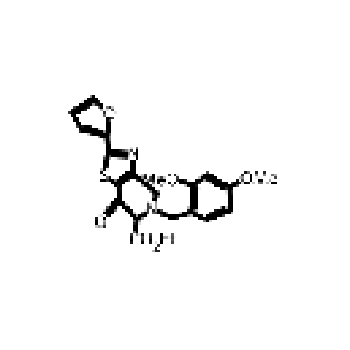 CCOC(=O)C1C(=O)c2sc(-c3ccco3)nc2CN1Cc1ccc(OC)cc1OC